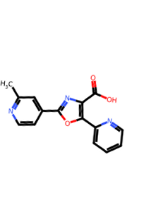 Cc1cc(-c2nc(C(=O)O)c(-c3ccccn3)o2)ccn1